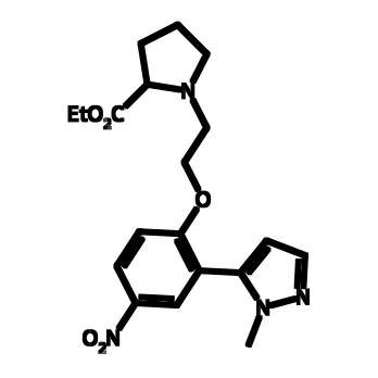 CCOC(=O)C1CCCN1CCOc1ccc([N+](=O)[O-])cc1-c1ccnn1C